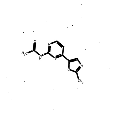 CC(=O)Nc1nccc(-c2cnc(C)o2)n1